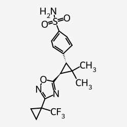 CC1(C)[C@@H](c2ccc(S(N)(=O)=O)cc2)[C@@H]1c1nc(C2(C(F)(F)F)CC2)no1